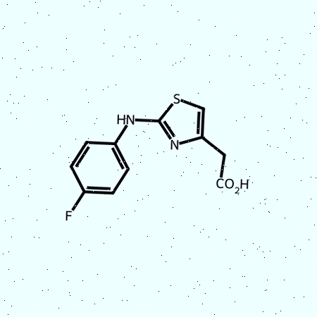 O=C(O)Cc1csc(Nc2ccc(F)cc2)n1